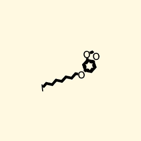 ICCCCCCCOc1ccc2c(c1)OCO2